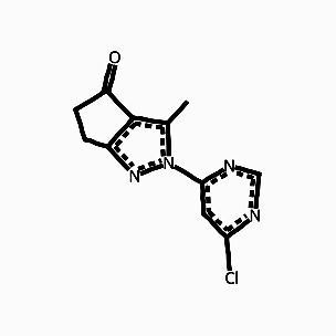 Cc1c2c(nn1-c1cc(Cl)ncn1)CCC2=O